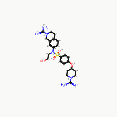 N=C(N)N1CCC(Oc2ccc(S(=O)(=O)N(CCO)c3ccc4c(c3)CN(C(=N)N)CC4)cc2)CC1